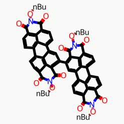 CCCCON1C(=O)c2ccc3c4ccc5c6c(c(-c7cc8c9ccc%10c%11c(ccc(c%12ccc%13c(c7C(=O)N(OCCCC)C%13=O)c%128)c%119)C(=O)N(OCCCC)C%10=O)cc(c7ccc(c2c37)C1=O)c64)C(=O)N(OCCCC)C5=O